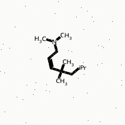 CC(C)CC(C)(C)/C=C\CN(C)C